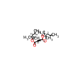 C=CC[Si](C)(C)OC(=O)C#CC(=O)O[Si](C)(C)CC=C